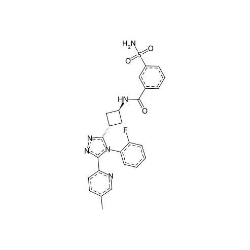 Cc1ccc(-c2nnc([C@H]3C[C@H](NC(=O)c4cccc(S(N)(=O)=O)c4)C3)n2-c2ccccc2F)nc1